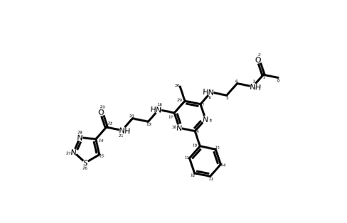 CC(=O)NCCNc1nc(-c2ccccc2)nc(NCCNC(=O)c2csnn2)c1C